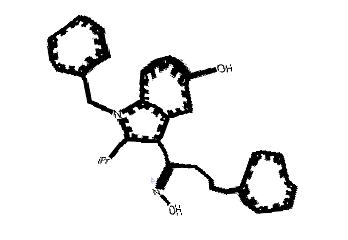 CC(C)c1c(/C(CCc2ccccc2)=N/O)c2cc(O)ccc2n1Cc1ccccc1